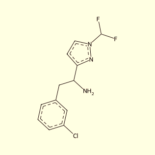 NC(Cc1cccc(Cl)c1)c1ccn(C(F)F)n1